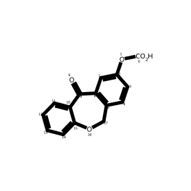 O=C(O)Oc1ccc2c(c1)C(=O)c1ccccc1OC2